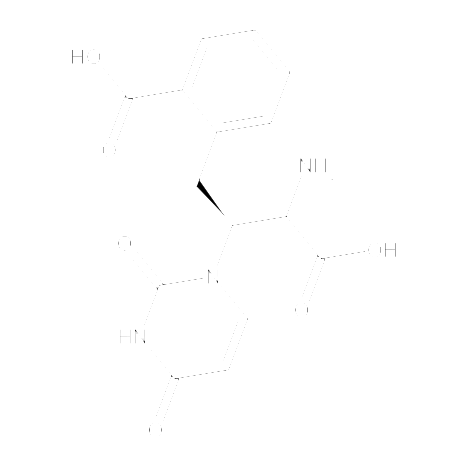 NC(C(=O)O)[C@H](Cc1ccccc1C(=O)O)n1ccc(=O)[nH]c1=O